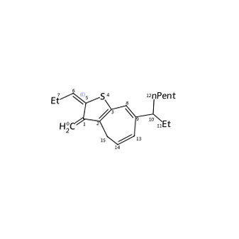 C=c1c2c(s/c1=C/CC)C=C(C(CC)CCCCC)C=CC2